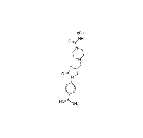 CCCCNC(=O)N1CCN(CC2CN(c3ccc(C(=N)N)cc3)C(=O)O2)CC1